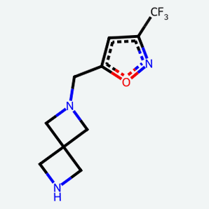 FC(F)(F)c1cc(CN2CC3(CNC3)C2)on1